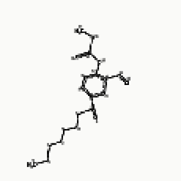 CCCCCCCC(=O)c1ccc(OC(=O)OC)c(C=O)c1